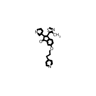 Cc1ncsc1C1=C(c2cccnc2)C(=O)c2cc(OCCCc3ccncc3)ccc21